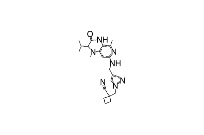 Cc1nc(NCc2cnn(CC3(C#N)CCC3)c2)cc2c1NC(=O)C(C(C)C)N2C